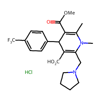 COC(=O)C1=C(C)N(C)C(CN2CCCC2)=C(C(=O)O)C1c1ccc(C(F)(F)F)cc1.Cl